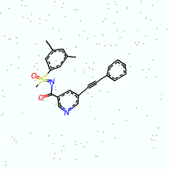 Cc1cc(C)cc(S(C)(=O)=NC(=O)c2cncc(C#Cc3ccccc3)c2)c1